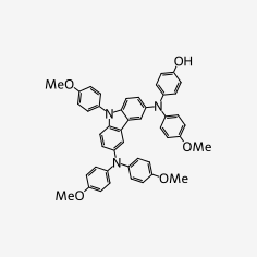 COc1ccc(N(c2ccc(O)cc2)c2ccc3c(c2)c2cc(N(c4ccc(OC)cc4)c4ccc(OC)cc4)ccc2n3-c2ccc(OC)cc2)cc1